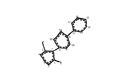 Cc1[c]ccc(C)c1-c1ccc(-c2ccccc2)cc1